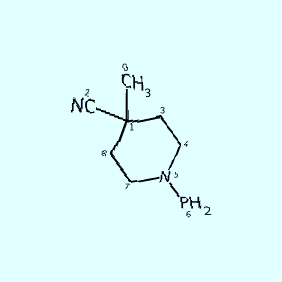 CC1(C#N)CCN(P)CC1